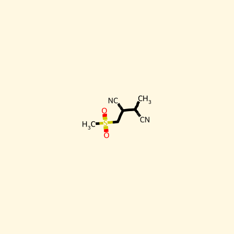 CC(C#N)C(C#N)CS(C)(=O)=O